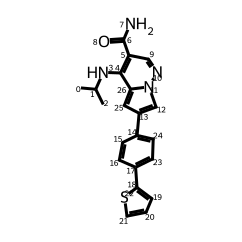 CC(C)Nc1c(C(N)=O)cnn2cc(-c3ccc(-c4cccs4)cc3)cc12